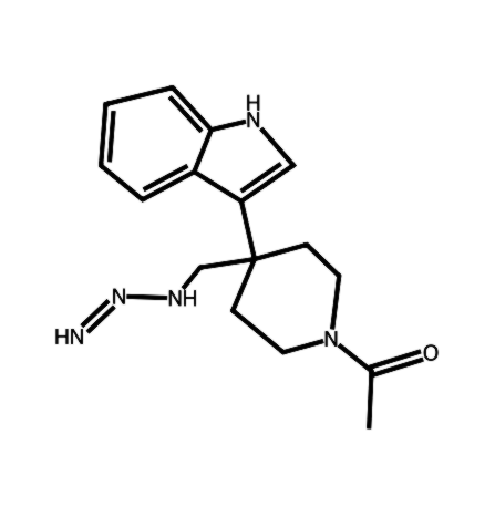 CC(=O)N1CCC(CNN=N)(c2c[nH]c3ccccc23)CC1